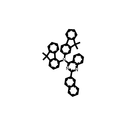 CC1(C)c2ccccc2-c2ccc(N(c3cccc4c3-c3ccccc3C4(C)C)c3nc(-c4ccc5ccccc5c4)nc4ccccc34)cc21